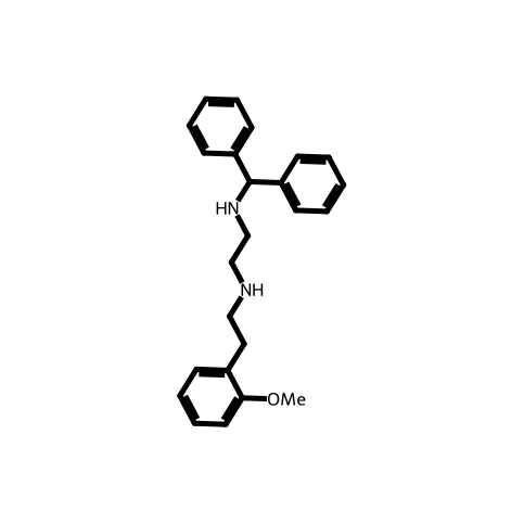 COc1ccccc1CCNCCNC(c1ccccc1)c1ccccc1